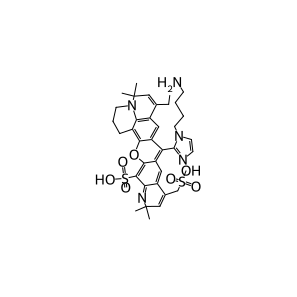 CCC1=CC(C)(C)N2CCCc3c4c(cc1c32)C(c1nccn1CCCCN)=c1cc2c(c(S(=O)(=O)O)c1O4)=NC(C)(C)C=C2CS(=O)(=O)O